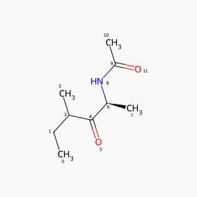 CCC(C)C(=O)[C@H](C)NC(C)=O